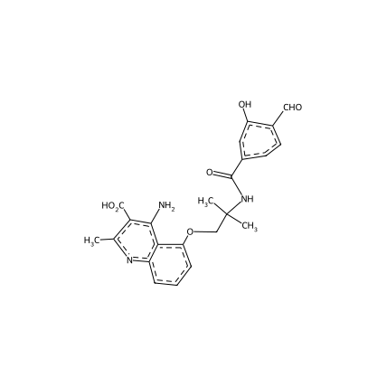 Cc1nc2cccc(OCC(C)(C)NC(=O)c3ccc(C=O)c(O)c3)c2c(N)c1C(=O)O